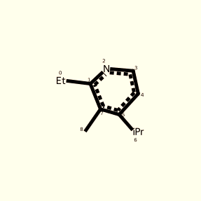 CCc1nccc(C(C)C)c1C